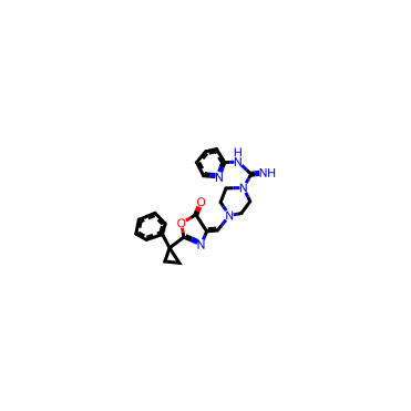 N=C(Nc1ccccn1)N1CCN(C=C2N=C(C3(c4ccccc4)CC3)OC2=O)CC1